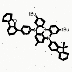 Cc1cc2c3c(c1)N(c1ccc4c(c1)C(C)(C)c1ccccc1-4)c1cc(C(C)(C)C)ccc1B3c1ccc(C(C)(C)C)cc1N2c1ccc(-c2cccc3c2oc2ccccc23)cc1